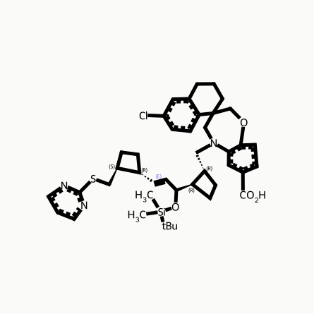 CC(C)(C)[Si](C)(C)OC(/C=C/[C@H]1CC[C@@H]1CSc1ncccn1)[C@@H]1CC[C@H]1CN1CC2(CCCc3cc(Cl)ccc32)COc2ccc(C(=O)O)cc21